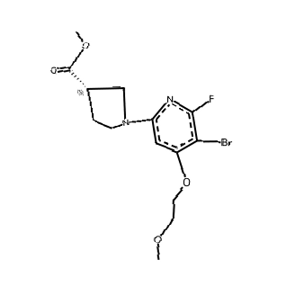 COCCOc1cc(N2CC[C@H](C(=O)OC)C2)nc(F)c1Br